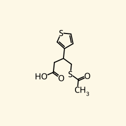 CC(=O)SCC(CC(=O)O)c1ccsc1